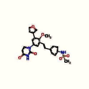 COc1c(/C=C/c2ccc(NS(C)(=O)=O)cc2)cc(-n2ccc(=O)[nH]c2=O)cc1-c1ccoc1